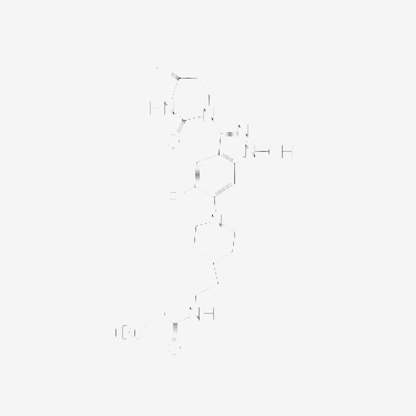 Cn1nc(N2CCC(=O)NC2=O)c2cc(F)c(N3CCC(CCNC(=O)OC(C)(C)C)CC3)cc21